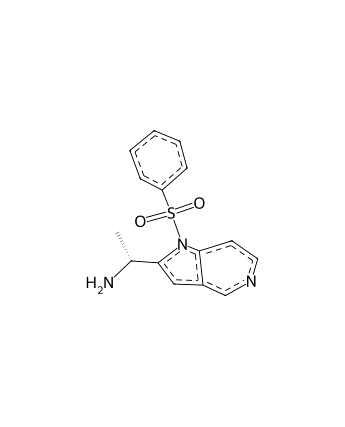 C[C@@H](N)c1cc2cnccc2n1S(=O)(=O)c1ccccc1